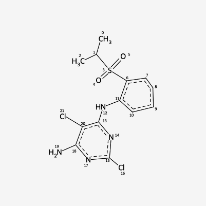 CC(C)S(=O)(=O)c1ccccc1Nc1nc(Cl)nc(N)c1Cl